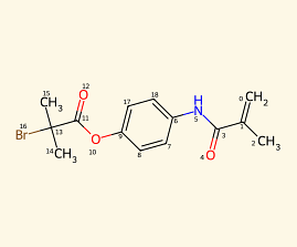 C=C(C)C(=O)Nc1ccc(OC(=O)C(C)(C)Br)cc1